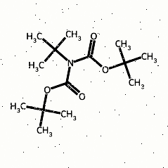 CC(C)(C)OC(=O)N(C(=O)OC(C)(C)C)C(C)(C)C